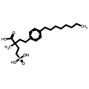 CCCCCCCCc1ccc(CCC(C)(CCP(=O)(O)O)C(=O)O)cc1